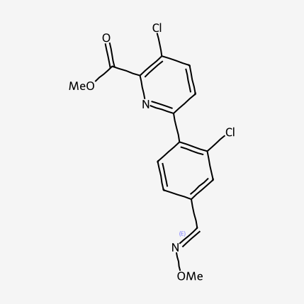 CO/N=C/c1ccc(-c2ccc(Cl)c(C(=O)OC)n2)c(Cl)c1